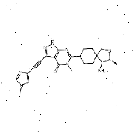 C[C@@H]1OCC2(CCN(c3nc4[nH]nc(C#Cc5cn(C)cn5)c4c(=O)n3C)CC2)[C@@H]1N